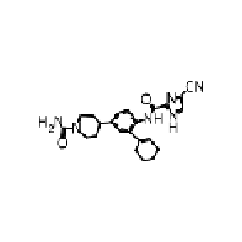 N#Cc1c[nH]c(C(=O)Nc2ccc(C3CCN(C(N)=O)CC3)cc2C2=CCCCC2)n1